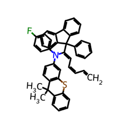 C=C/C=C\C=C(/N(c1ccc(F)cc1)c1ccc2c(c1)Sc1ccccc1C2(C)C)C1(c2ccccc2)c2ccccc2-c2ccccc21